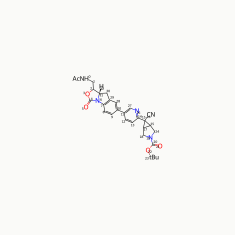 CC(=O)NCC1OC(=O)N2c3ccc(-c4ccc(C5(C#N)C6CN(C(=O)OC(C)(C)C)CC65)nc4)cc3C[C@@H]12